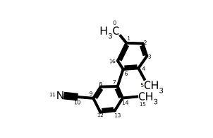 Cc1ccc(C)c(-c2cc(C#N)ccc2C)c1